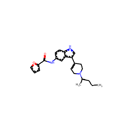 CCCC(C)N1CC=C(c2c[nH]c3ccc(NC(=O)c4ccco4)cc23)CC1